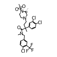 C[C@@H]1CN(CCC(C)(C(=O)N(C)Cc2ccc(Cl)c(C(F)(F)F)c2)c2ccc(Cl)c(Cl)c2)CCN1S(C)(=O)=O